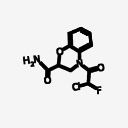 NC(=O)C1CN(C(=O)C(F)Cl)c2ccccc2O1